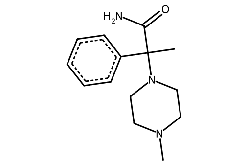 CN1CCN(C(C)(C(N)=O)c2ccccc2)CC1